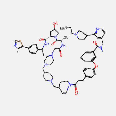 CNCCN1CCC(c2cc(CN(C)C(=O)c3cccc(Oc4ccc(CCC(=O)N5CCC(CN6CCC(CN7CCN(CC(=O)N[C@H](C(=O)N8C[C@H](O)C[C@H]8C(=O)N[C@@H](C)c8ccc(-c9scnc9C)cc8)C(C)(C)C)CC7)CC6)CC5)cc4)c3)ccn2)CC1